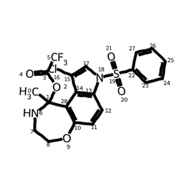 CC1(OC(=O)C(F)(F)F)NCCOc2ccc3c(c(Cl)cn3S(=O)(=O)c3ccccc3)c21